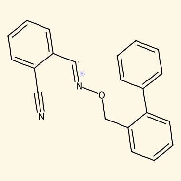 N#Cc1ccccc1/[C]=N/OCc1ccccc1-c1ccccc1